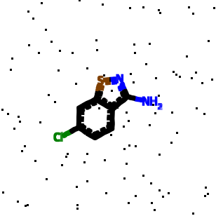 Nc1nsc2cc(Cl)ccc12